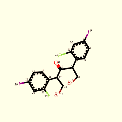 O=C(C(CBr)c1ccc(I)cc1F)C(CBr)c1ccc(I)cc1F